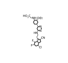 CCOc1cc(-c2cc(NCCn3c(C#N)cc4c(Cl)cc(F)c(F)c43)ncn2)ccc1NCC(=O)O